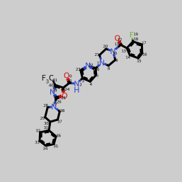 O=C(Nc1ccc(N2CCN(C(=O)c3ccccc3F)CC2)nc1)c1oc(N2CCC(c3ccccc3)CC2)nc1C(F)(F)F